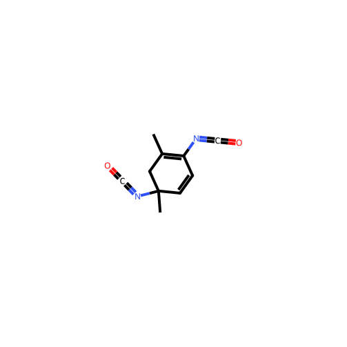 CC1=C(N=C=O)C=CC(C)(N=C=O)C1